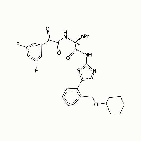 CCC[C@H](NC(=O)C(=O)c1cc(F)cc(F)c1)C(=O)Nc1ncc(-c2ccccc2COC2CCCCC2)s1